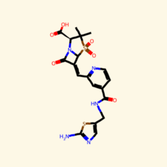 CC1(C)[C@H](C(=O)O)N2C(=O)/C(=C/c3cc(C(=O)NCc4cnc(N)s4)ccn3)C2S1(=O)=O